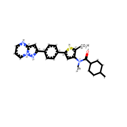 CC1CCC(C(=O)N(c2cc(-c3ccc(-c4cc5ncccn5n4)cc3)sc2C(=O)O)C(C)C)CC1